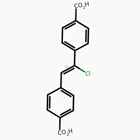 O=C(O)c1ccc(/C=C(\Cl)c2ccc(C(=O)O)cc2)cc1